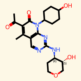 CC(=O)c1c(C)c2cnc(N[C@@H]3CCOC[C@H]3O)nc2n(C2CCC(O)CC2)c1=O